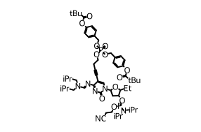 CCC1OC(n2cc(C#CCCOP(=O)(OCc3ccc(OC(=O)C(C)(C)C)cc3)OCc3ccc(OC(=O)C(C)(C)C)cc3)c(/N=C/N(CC(C)C)CC(C)C)nc2=O)CC1OP(OCCC#N)N(C(C)C)C(C)C